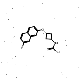 O=C(O)N[C@H]1C[C@H](Oc2ccc3ccc(F)cc3c2)C1